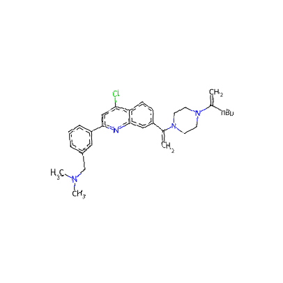 C=C(CCCC)N1CCN(C(=C)c2ccc3c(Cl)cc(-c4cccc(CN(C)C)c4)nc3c2)CC1